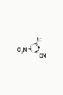 [CH2]Cc1cc(C#N)cc([N+](=O)[O-])c1